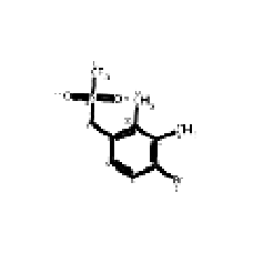 Cc1c(Br)ccc(CS(=O)(=O)C(F)(F)F)c1C